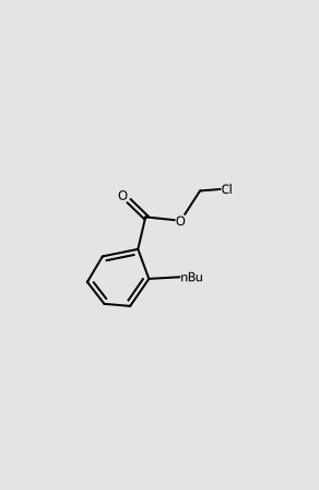 CCCCc1ccccc1C(=O)OCCl